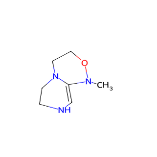 CN1OCCN2CCNC=C21